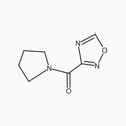 O=C(c1n[c]on1)N1CCCC1